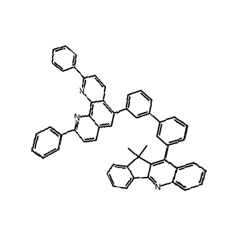 CC1(C)c2ccccc2-c2nc3ccccc3c(-c3cccc(-c4cccc(-c5cc6ccc(-c7ccccc7)nc6c6nc(-c7ccccc7)ccc56)c4)c3)c21